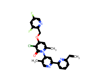 C=Cc1cccc(-c2cc(-n3c(C)cc(OCc4ncc(F)cc4F)c(Cl)c3=O)c(C)cn2)n1